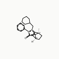 CC1(C)[C@H]2CC[C@]1(C)c1c2c(=O)n(-c2ccccc2)n1CC1CCCCC1